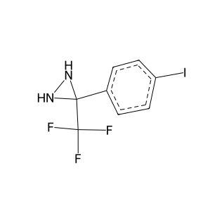 FC(F)(F)C1(c2ccc(I)cc2)NN1